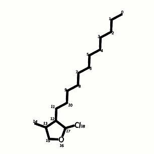 CCCCCCCCCCCCC1C(C)COC1Cl